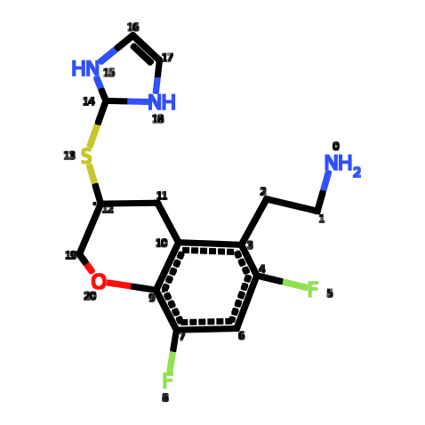 NCCc1c(F)cc(F)c2c1C[C](SC1NC=CN1)CO2